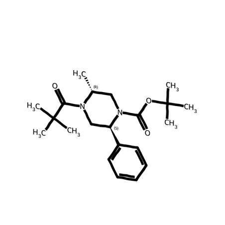 C[C@@H]1CN(C(=O)OC(C)(C)C)[C@@H](c2ccccc2)CN1C(=O)C(C)(C)C